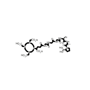 CC(C)[C@H](NC(=O)CNC(=O)CNC(=O)CNC(=O)CCC(C(=O)O)N1CCN(CC(=O)O)CCN(CC(=O)O)CCN(CC(=O)O)CC1)C(=O)N[C@H](C)C(=O)N1CCC[C@H]1B(O)O